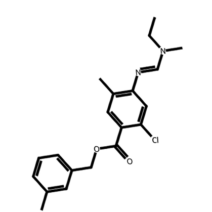 CCN(C)/C=N/c1cc(Cl)c(C(=O)OCc2cccc(C)c2)cc1C